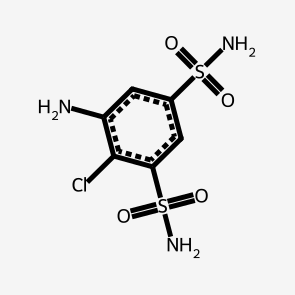 Nc1cc(S(N)(=O)=O)cc(S(N)(=O)=O)c1Cl